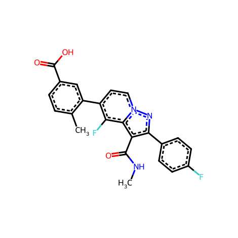 CNC(=O)c1c(-c2ccc(F)cc2)nn2ccc(-c3cc(C(=O)O)ccc3C)c(F)c12